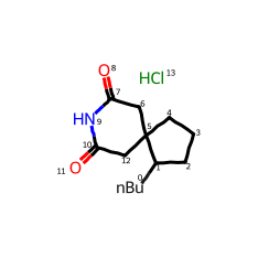 CCCCC1CCCC12CC(=O)NC(=O)C2.Cl